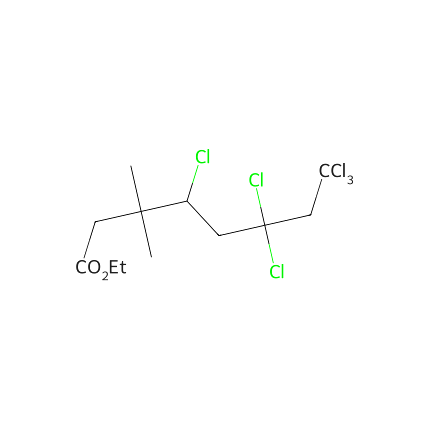 CCOC(=O)CC(C)(C)C(Cl)CC(Cl)(Cl)CC(Cl)(Cl)Cl